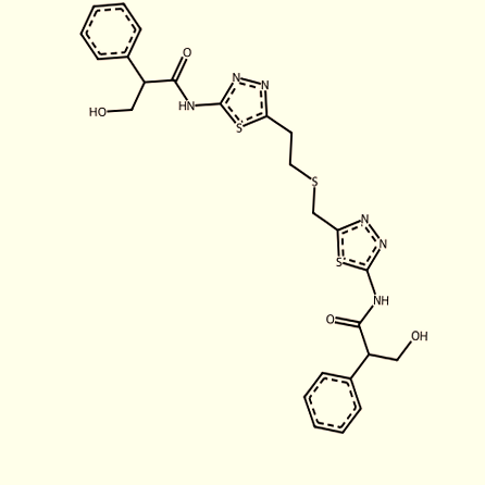 O=C(Nc1nnc(CCSCc2nnc(NC(=O)C(CO)c3ccccc3)s2)s1)C(CO)c1ccccc1